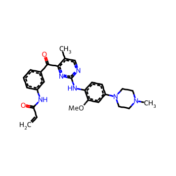 C=CC(=O)Nc1cccc(C(=O)c2nc(Nc3ccc(N4CCN(C)CC4)cc3OC)ncc2C)c1